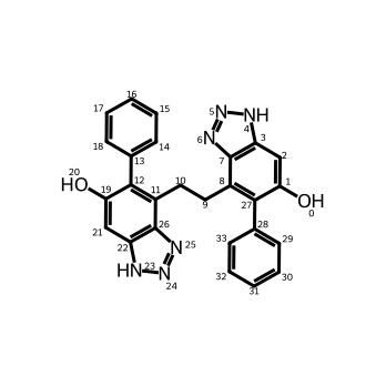 Oc1cc2[nH]nnc2c(CCc2c(-c3ccccc3)c(O)cc3[nH]nnc23)c1-c1ccccc1